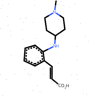 CN1CCC(Nc2ccccc2C=CC(=O)O)CC1